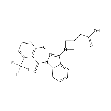 O=C(O)CC1CN(c2nn(C(=O)c3c(Cl)cccc3C(F)(F)F)c3cccnc23)C1